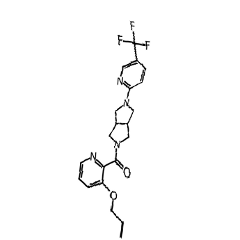 CCCOc1cccnc1C(=O)N1CC2CN(c3ccc(C(F)(F)F)cn3)CC2C1